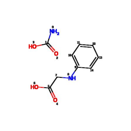 NC(=O)O.O=C(O)CNc1ccccc1